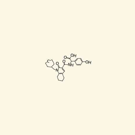 O=C(NC(C(=O)O)c1ccc(O)cc1)c1cc2c(n(CC3CCCCC3)c1=O)CCCC2